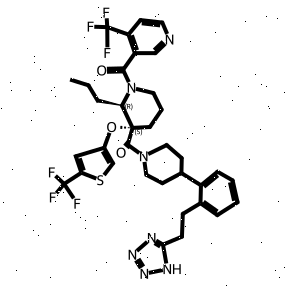 CCC[C@H]1N(C(=O)c2cnccc2C(F)(F)F)CCC[C@@]1(Oc1csc(C(F)(F)F)c1)C(=O)N1CCC(c2ccccc2CCc2nnn[nH]2)CC1